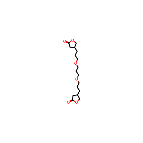 O=C1CC(CCCOCCCOCCCC2COC(=O)C2)CO1